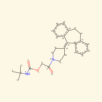 CC(C)(C)NC(=O)OCC(=O)N1CCC(=C2c3ccccc3CCc3ccccc32)CC1